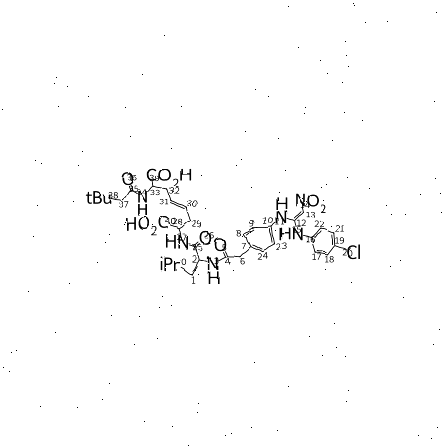 CC(C)CC(NC(=O)Cc1ccc(N/C(=C\[N+](=O)[O-])Nc2ccc(Cl)cc2)cc1)C(=O)NC(C/C=C/CC(NC(=O)CC(C)(C)C)C(=O)O)C(=O)O